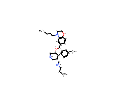 COCCCN1CCOc2ccc(CO[C@H]3CNC[C@@H](CNCCOC)[C@@H]3c3ccc(OC)cc3)cc21